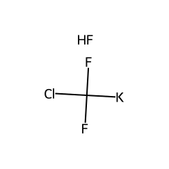 F.F[C](F)(Cl)[K]